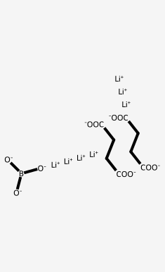 O=C([O-])CCC(=O)[O-].O=C([O-])CCC(=O)[O-].[Li+].[Li+].[Li+].[Li+].[Li+].[Li+].[Li+].[O-]B([O-])[O-]